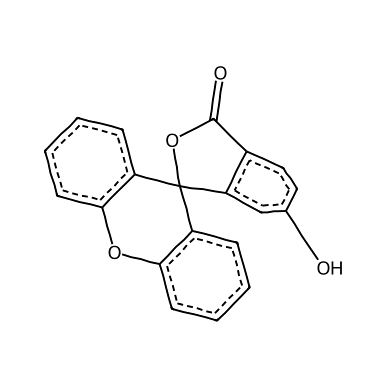 O=C1OC2(c3ccccc3Oc3ccccc32)c2cc(O)ccc21